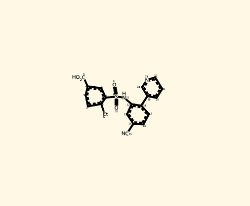 CCc1ccc(C(=O)O)cc1S(=O)(=O)Nc1cc(C#N)ccc1-c1cccnc1